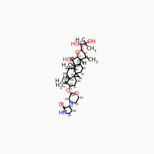 C[C@@H]1CC(C(O)C(C)(C)O)OC2[C@H]1C1(C)CCC34CC35CCC(O[C@H]3CN(C6CCNC6=O)CCO3)C(C)(C)[C@@H]5CCC4[C@]1(C)[C@H]2O